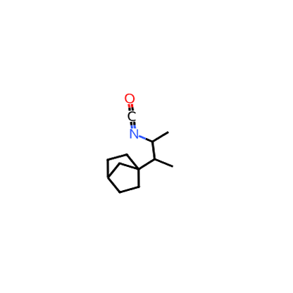 CC(N=C=O)C(C)C12CCC(CC1)C2